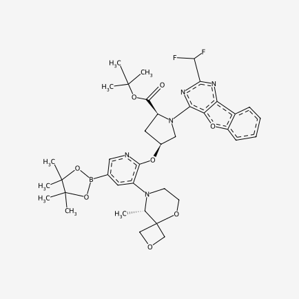 C[C@@H]1N(c2cc(B3OC(C)(C)C(C)(C)O3)cnc2O[C@H]2C[C@@H](C(=O)OC(C)(C)C)N(c3nc(C(F)F)nc4c3oc3ccccc34)C2)CCOC12COC2